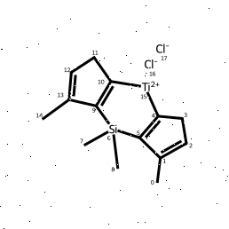 CC1=CC[C]2=C1[Si](C)(C)C1=[C](CC=C1C)[Ti+2]2.[Cl-].[Cl-]